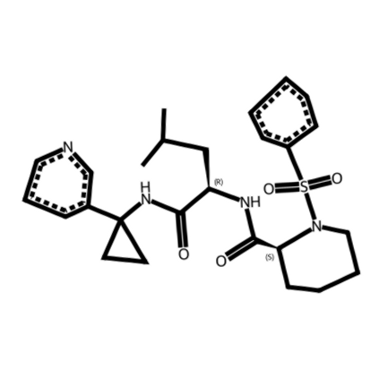 CC(C)C[C@@H](NC(=O)[C@@H]1CCCCN1S(=O)(=O)c1ccccc1)C(=O)NC1(c2cccnc2)CC1